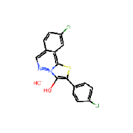 Oc1c(-c2ccc(Cl)cc2)sc2c3cc(Cl)ccc3cn[n+]12.[OH-]